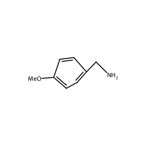 COc1[c]cc(CN)cc1